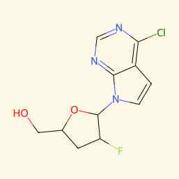 OCC1CC(F)C(n2ccc3c(Cl)ncnc32)O1